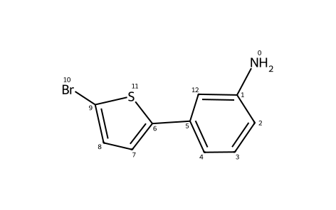 Nc1cccc(-c2ccc(Br)s2)c1